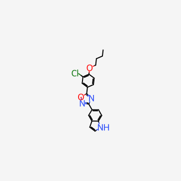 CCCCOc1ccc(-c2nc(-c3ccc4[nH]ccc4c3)no2)cc1Cl